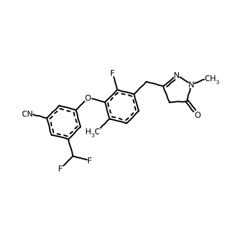 [C-]#[N+]c1cc(Oc2c(C)ccc(CC3=NN(C)C(=O)C3)c2F)cc(C(F)F)c1